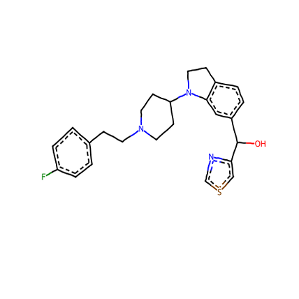 OC(c1ccc2c(c1)N(C1CCN(CCc3ccc(F)cc3)CC1)CC2)c1cscn1